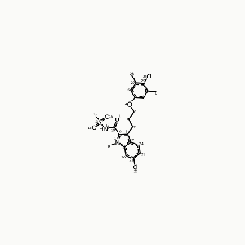 Cc1cc(OCCCc2c(C(=O)NS(C)(=O)=O)n(C)c3cc(Cl)ccc23)cc(C)c1Cl